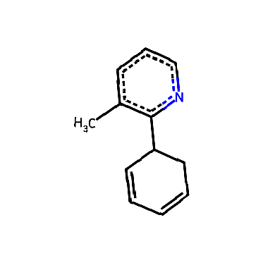 Cc1cccnc1C1C=CC=CC1